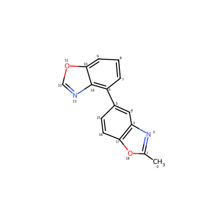 Cc1nc2[c]c(-c3cccc4ocnc34)ccc2o1